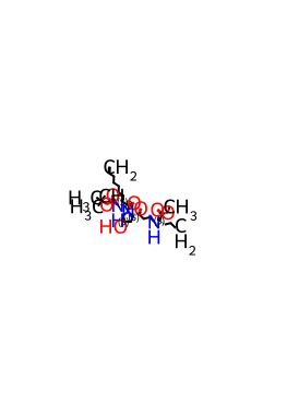 C=CCCCCC[C@H](NC(=O)OC(C)(C)C)C(=O)N1C[C@@H](O)C[C@H]1C(=O)CCN[C@@H](CCC=C)C(=O)OC